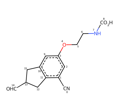 N#Cc1cc(OCCNC(=O)O)cc2c1CC(C=O)C2